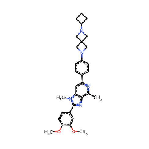 COc1ccc(-c2nc3c(C)nc(-c4ccc(N5CC6(C5)CN(C5CCC5)C6)cc4)cc3n2C)cc1OC